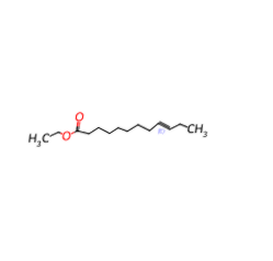 CC/C=C/CCCCCCCC(=O)OCC